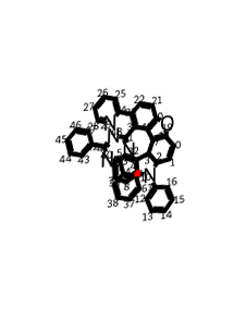 C1=CC2C(c3ccccc3N2c2ccccc2)c2c1oc1ccc(-c3ccccn3)c(-c3nc(-c4ccccc4)nc(-c4ccccc4)n3)c21